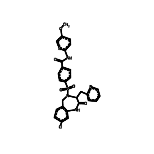 COc1ccc(NC(=O)c2ccc(S(=O)(=O)N3Cc4ccc(Cl)cc4NC(=O)C3Cc3ccccn3)cc2)nc1